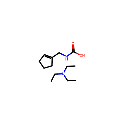 CCN(CC)CC.O=C(O)NCC1=CCCC1